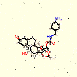 CCCC1O[C@@H]2CC3[C@@H]4CCC5=CC(=O)C=C[C@]5(C)C4[C@@H](O)C[C@]3(C)[C@]2(C(=O)COC(=O)NCc2ccc(N)cc2)O1